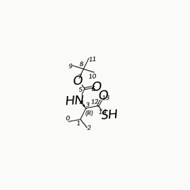 CC(C)[C@@H](NC(=O)OC(C)(C)C)C(=O)S